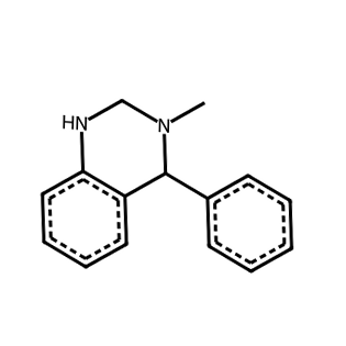 CN1CNc2ccccc2C1c1ccccc1